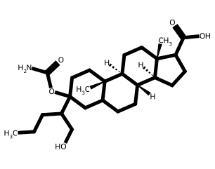 CCCC(CO)C1(OC(N)=O)CC[C@@]2(C)C(CC[C@@H]3[C@@H]2CC[C@]2(C)C(C(=O)O)CC[C@@H]32)C1